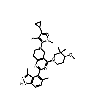 CO[C@H]1CCN(c2nc(-c3c(C)ccc4[nH]nc(C)c34)nc3c2CN(c2c(F)c(C4CC4)nn2C)CC3)CC1(C)C